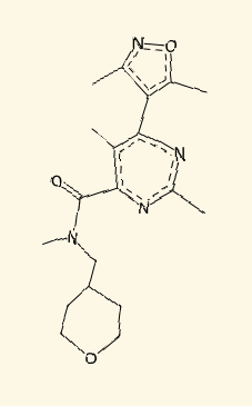 Cc1nc(C(=O)N(C)CC2CCOCC2)c(C)c(-c2c(C)noc2C)n1